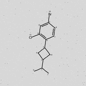 CC(C)C1CC(c2ccc(Br)cc2Cl)C1